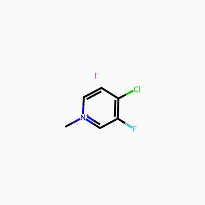 C[n+]1ccc(Cl)c(F)c1.[I-]